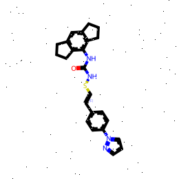 O=C(NS/C=C/c1ccc(-n2cccn2)cc1)Nc1c2c(cc3c1CCC3)CCC2